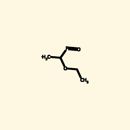 [CH2]C(OCC)P=O